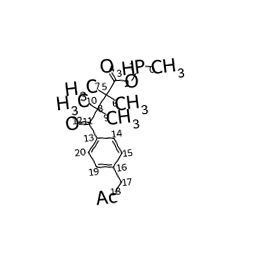 CPOC(=O)C(C)(C)C(C)(C)C(=O)c1ccc(CC(C)=O)cc1